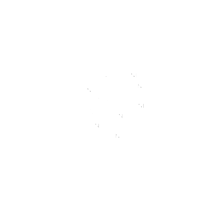 CC(C)(C)c1cc(Nc2nc(N3CCC[C@@H]3C(=O)N3CCCCC3)nc3c2CCC3)n[nH]1